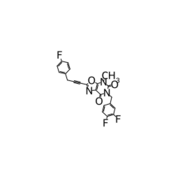 Cn1c(=O)n(Cc2ccc(F)c(F)c2)c(=O)c2nc(C#CCc3ccc(F)cc3)oc21